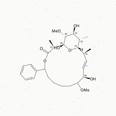 COC1CCCCC(c2ccccc2)OC(=O)[C@@H](C)[C@@]2(O)O[C@H]([C@@H](C)[C@H](O)[C@H]2OC)[C@@H](C)/C=C/[C@H]1O